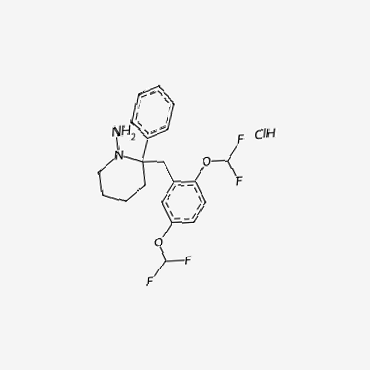 Cl.NN1CCCCC1(Cc1cc(OC(F)F)ccc1OC(F)F)c1ccccc1